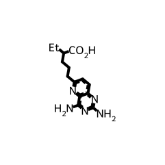 CCC(CCCc1ccc2nc(N)nc(N)c2n1)C(=O)O